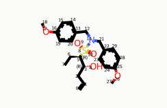 C=CC[C@@H](O)[C@@H](CC)S(=O)(=O)N(Cc1ccc(OC)cc1)Cc1ccc(OC)cc1